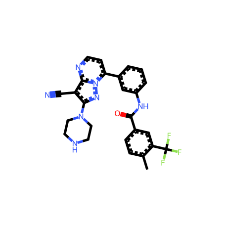 Cc1ccc(C(=O)Nc2cccc(-c3ccnc4c(C#N)c(N5CCNCC5)nn34)c2)cc1C(F)(F)F